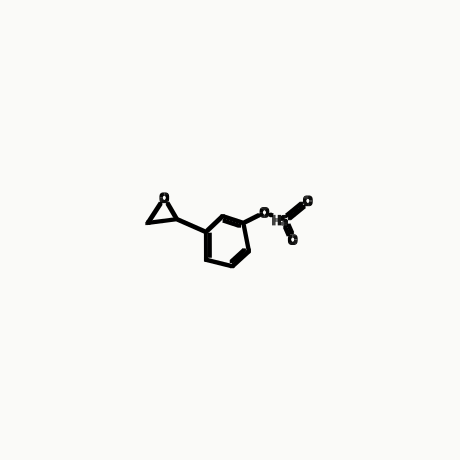 O=[SH](=O)Oc1cccc(C2CO2)c1